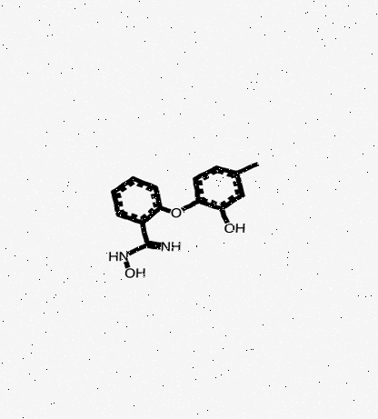 Cc1ccc(Oc2ccccc2C(=N)NO)c(O)c1